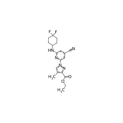 CCOC(=O)c1nn(-c2cc(C#N)cc(NC3CCC(F)(F)CC3)n2)cc1C